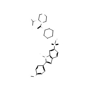 COc1ccc(-c2cc3ccc(S(=O)(=O)N[C@H]4CC[C@H](C(=O)N5CCOC[C@@H]5C(C)C)CC4)cc3n2C)cc1